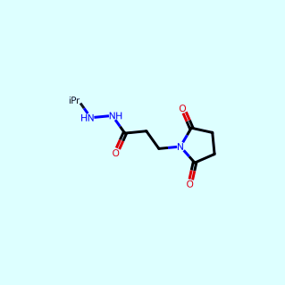 CC(C)NNC(=O)CCN1C(=O)CCC1=O